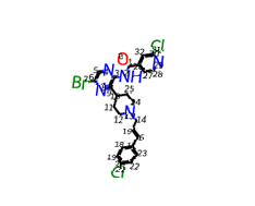 O=C(Nc1ncc(Br)nc1C1CCN(CC=Cc2ccc(Cl)cc2)CC1)c1ccnc(Cl)c1